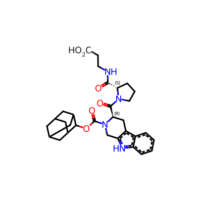 O=C(O)CCNC(=O)[C@@H]1CCCN1C(=O)[C@H]1Cc2c([nH]c3ccccc23)CN1C(=O)OC1C2CC3CC(C2)CC1C3